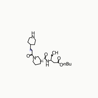 C#CC(CC(=O)OCCCC)NC(=O)[C@@H]1CCCN(C(=O)/C=C/C2CCNCC2)C1